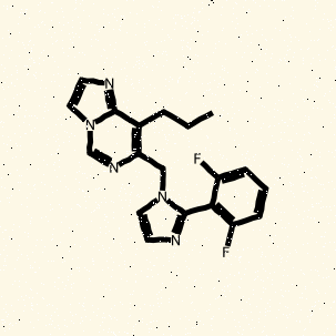 CCCc1c(Cn2ccnc2-c2c(F)cccc2F)ncn2ccnc12